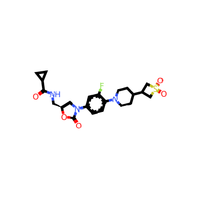 O=C(NC[C@H]1CN(c2ccc(N3CCC(C4CS(=O)(=O)C4)CC3)c(F)c2)C(=O)O1)C1CC1